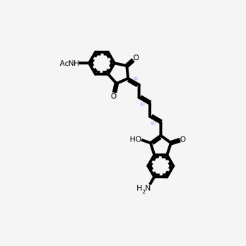 CC(=O)Nc1ccc2c(c1)C(=O)\C(=C/C=C/C=C/C1=C(O)c3cc(N)ccc3C1=O)C2=O